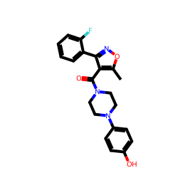 Cc1onc(-c2ccccc2F)c1C(=O)N1CCN(c2ccc(O)cc2)CC1